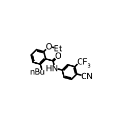 CCCCc1cccc(OCC)c1C(=O)Nc1ccc(C#N)c(C(F)(F)F)c1